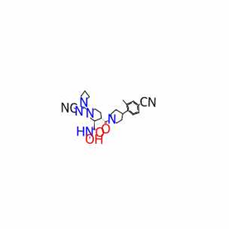 Cc1cc(C#N)ccc1C1CCN(C(=O)[C@H]2CCN(/C(=N/C#N)N3CCC3)C[C@@H]2C(=O)NO)CC1